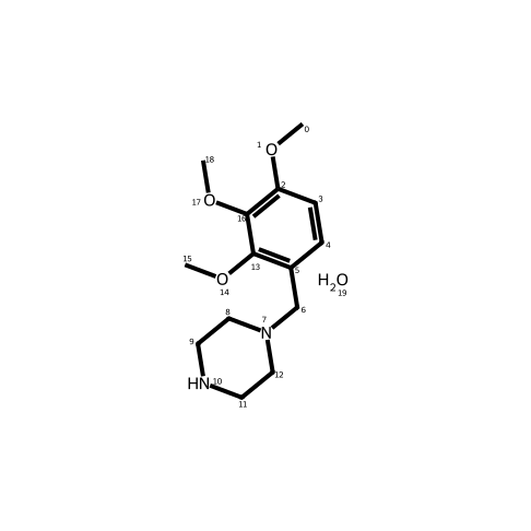 COc1ccc(CN2CCNCC2)c(OC)c1OC.O